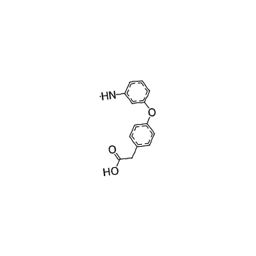 [NH]c1cccc(Oc2ccc(CC(=O)O)cc2)c1